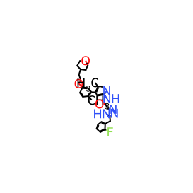 Cc1ccc(OCCC2CCOCC2)cc1-c1cc(NC(=O)c2nnc(Cc3ccccc3F)[nH]2)ncc1C